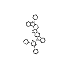 c1ccc(-c2cc(-c3ccccc3)nc(-n3c4ccccc4c4cc5c(cc43)oc3c5ccc4c3c3ccccc3n4-c3ccccc3)n2)cc1